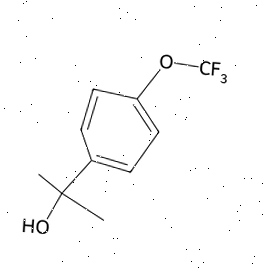 CC(C)(O)c1ccc(OC(F)(F)F)cc1